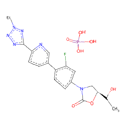 CCn1nnc(-c2ccc(-c3ccc(N4C[C@@H](C(C)O)OC4=O)cc3F)cn2)n1.O=P(O)(O)O